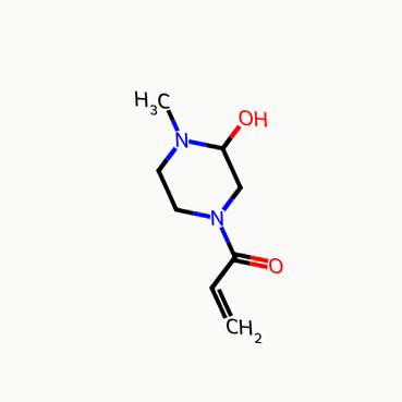 C=CC(=O)N1CCN(C)C(O)C1